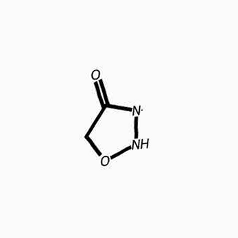 O=C1CON[N]1